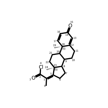 CC(C(=O)Cl)=C1CCC2C3CCC4=CC(=O)C=C[C@]4(C)C3CC[C@]12C